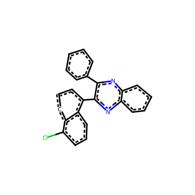 Clc1cccc2c(-c3nc4ccccc4nc3-c3ccccc3)cccc12